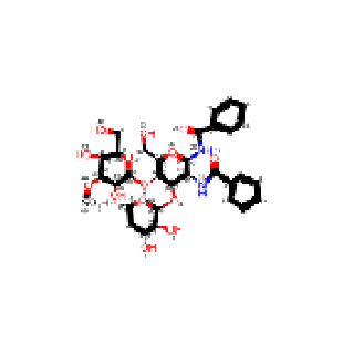 C[C@H]1C[C@@H](O)[C@H](O)[C@H](O[C@@H]2[C@@H](NC(=O)c3ccccc3)[C@H](NC(=O)c3ccccc3)O[C@H](CO)[C@H]2O[C@@H]2O[C@H](CO)[C@H](O)[C@H](OS(=O)(=O)O)[C@H]2O)O1